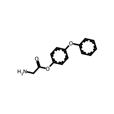 NCC(=O)Oc1ccc(Oc2ccccc2)cc1